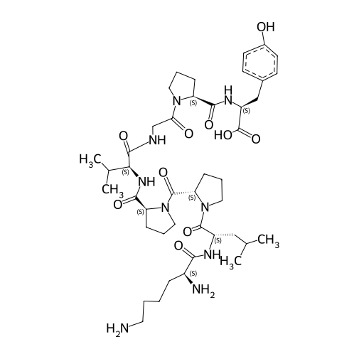 CC(C)C[C@H](NC(=O)[C@@H](N)CCCCN)C(=O)N1CCC[C@H]1C(=O)N1CCC[C@H]1C(=O)N[C@H](C(=O)NCC(=O)N1CCC[C@H]1C(=O)N[C@@H](Cc1ccc(O)cc1)C(=O)O)C(C)C